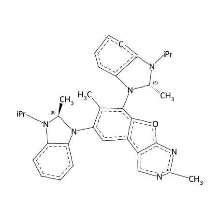 Cc1ncc2c(n1)oc1c(N3c4ccccc4N(C(C)C)[C@@H]3C)c(C)c(N3c4ccccc4N(C(C)C)[C@H]3C)cc12